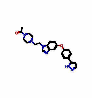 CC(=O)N1CCN(CCn2cnc3cc(Oc4ccc(-c5ccn[nH]5)cc4)ccc32)CC1